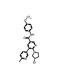 CC[C@@H]1CCN(c2ncc(C(=O)Nc3ccc(OC(F)(F)F)cc3)cc2-c2ccc(C)nc2)C1